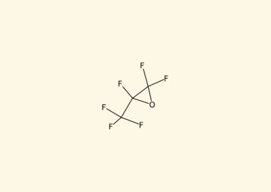 FC(F)(F)C1(F)OC1(F)F